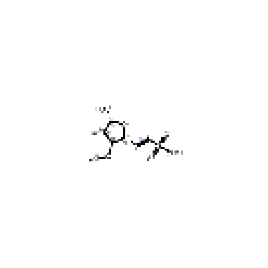 CNS(=O)(=O)/C=C/[C@H]1O[C@@H](C)[C@H](F)[C@@H]1OC(C)C